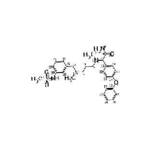 CN(CCCN(C)C(C(N)=O)c1ccc(Oc2ccccc2)cc1)Cc1cccc(NS(C)(=O)=O)c1